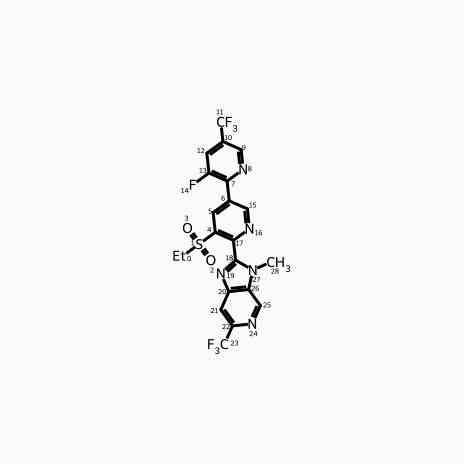 CCS(=O)(=O)c1cc(-c2ncc(C(F)(F)F)cc2F)cnc1-c1nc2cc(C(F)(F)F)ncc2n1C